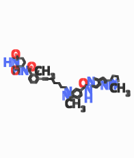 Cc1c(C#CCCCCCn2nc(C)c3ccc(C(=O)Nc4cc5[nH]c([C@H]6CCCN6C)cc5cn4)cc32)cccc1C(=O)NC1CCC(=O)NC1=O